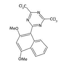 COc1cc(OC)c2ccccc2c1-c1nc(C(Cl)(Cl)Cl)nc(C(Cl)(Cl)Cl)n1